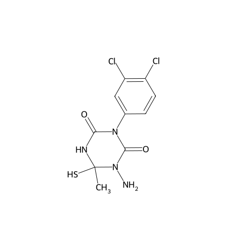 CC1(S)NC(=O)N(c2ccc(Cl)c(Cl)c2)C(=O)N1N